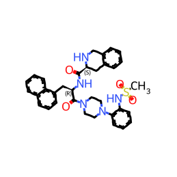 CS(=O)(=O)Nc1ccccc1N1CCN(C(=O)[C@@H](Cc2cccc3ccccc23)NC(=O)[C@@H]2Cc3ccccc3CN2)CC1